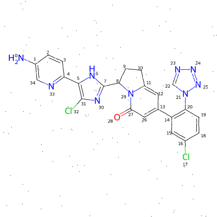 Nc1ccc(-c2[nH]c(C3CCc4cc(-c5cc(Cl)ccc5-n5cnnn5)cc(=O)n43)nc2Cl)nc1